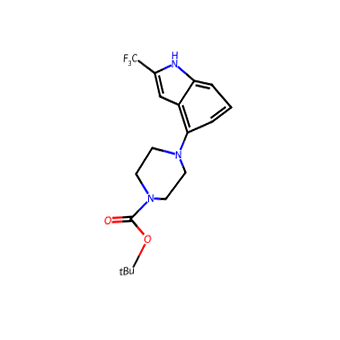 CC(C)(C)OC(=O)N1CCN(c2cccc3[nH]c(C(F)(F)F)cc23)CC1